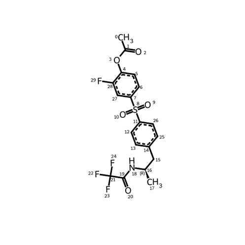 CC(=O)Oc1ccc(S(=O)(=O)c2ccc(C[C@@H](C)NC(=O)C(F)(F)F)cc2)cc1F